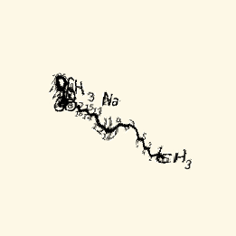 CCCCCCCCCCCCCCCCCCOS(=O)(=O)c1ccccc1C.[Na]